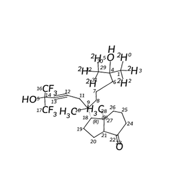 [2H]C([2H])([2H])C(O)(CCCC(C)(CC#CC(O)(C(F)(F)F)C(F)(F)F)[C@H]1CCC2C(=O)CCC[C@@]21C)C([2H])([2H])[2H]